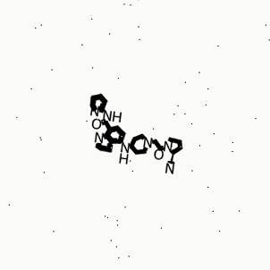 N#C[C@@H]1CCCN1C(=O)CN1CCC(Nc2ccc(C(=O)Nc3ccccn3)c3ncccc23)CC1